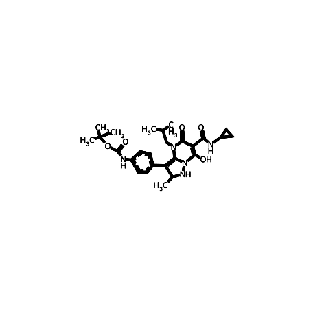 CC(C)CN1C(=O)C(C(=O)NC2CC2)=C(O)N2NC(C)C(c3ccc(NC(=O)OC(C)(C)C)cc3)=C12